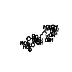 CC(CC(CCCCC(O)O)CCC(CO)(CO)CO)CC(C)(C)C(O)O.O=C(O)c1ccc(C(=O)O)cc1.O=C(O)c1cccc(C(=O)O)c1